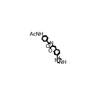 CC(=O)NC1=CC=C(C2=NC(=CC3C=CC(N4CNC=N4)=CC3)C(=O)O2)CC1